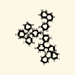 c1ccc(-c2ccccc2-n2c3ccccc3c3c(-c4cccc(N(c5ccc(-c6cccc7ccccc67)cc5)c5ccc([Si](c6ccccc6)(c6ccccc6)c6ccccc6)cc5)c4)cccc32)cc1